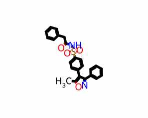 Cc1onc(-c2ccccc2)c1-c1ccc(S(=O)(=O)NC(=O)Cc2ccccc2)cc1